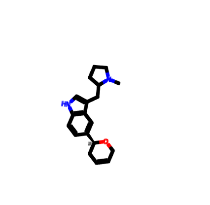 CN1CCCC1Cc1c[nH]c2ccc([C@@H]3CC=CCO3)cc12